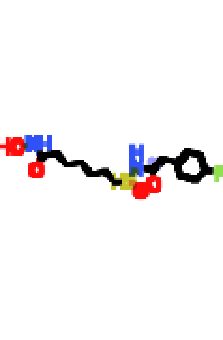 O=C(CCCCCC[SH]1N/C(=C/c2ccc(F)cc2)OO1)NO